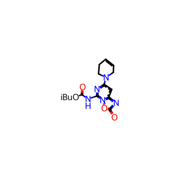 CC(C)COC(=O)Nc1nc(N2CC=CCC2)cc2nc(=O)on12